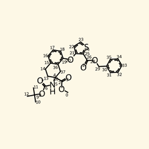 COC(=O)[C@]1(NC(=O)OC(C)(C)C)CCc2cccc(Oc3ccsc3C(=O)OCc3ccccc3)c2C1